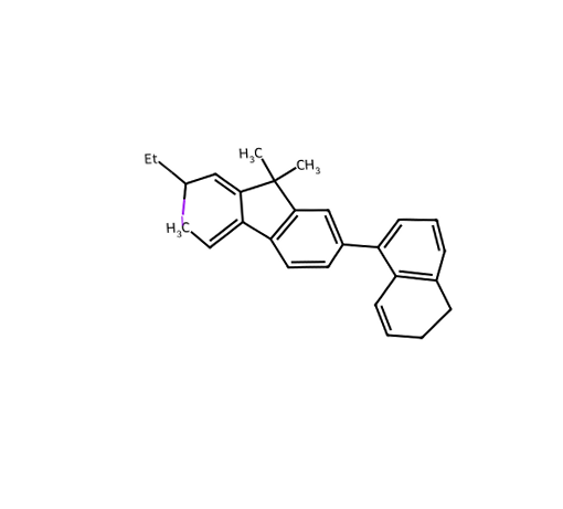 C/C=C1\C(=C/C(I)CC)C(C)(C)c2cc(-c3cccc4c3C=CCC4)ccc21